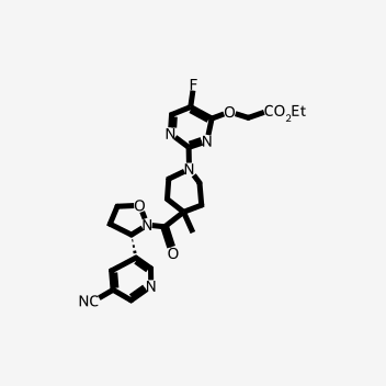 CCOC(=O)COc1nc(N2CCC(C)(C(=O)N3OCC[C@H]3c3cncc(C#N)c3)CC2)ncc1F